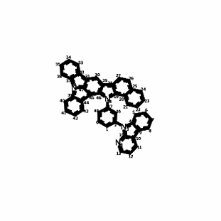 c1cc(-n2c3ccccc3c3cccnc32)cc(-n2c3c4ccccc4ccc3c3cc4c5ccccc5n5c6ccccc6c(c32)c45)c1